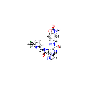 Cn1c(=O)oc2ccc(CNC(=O)c3cc(C(=O)NCc4cccc(C(C)(F)F)n4)n4nccc4n3)cc21